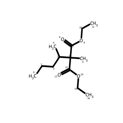 CCCC(C)C(C)(C(=O)OCC)C(=O)OCC